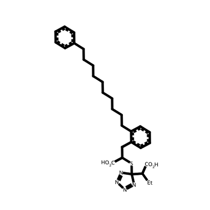 CCC(C(=O)O)C1(SC(Cc2ccccc2CCCCCCCCCCc2ccccc2)C(=O)O)N=NN=N1